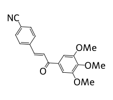 COc1cc(C(=O)/C=C/c2ccc(C#N)cc2)cc(OC)c1OC